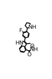 O=C1NOCc2c(-c3ccc(C4CCCN4)c(F)c3)[nH]c3cccc1c23